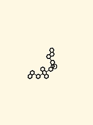 c1cc(-c2cccc3ccccc23)cc(-c2c3ccccc3c(-c3ccc4oc5ccc(-c6cccc7c6ccc6ccccc67)cc5c4c3)c3ccccc23)c1